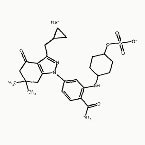 CC1(C)CC(=O)c2c(CC3CC3)nn(-c3ccc(C(N)=O)c(NC4CCC(OS(=O)(=O)[O-])CC4)c3)c2C1.[Na+]